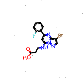 O=C(O)CCNc1cc(-c2ccccc2F)nc2c(Br)cnn12